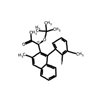 CC(=O)[C@@H](OC(C)(C)C)c1c(C)cc2ccccc2c1-c1cccc(C)c1F